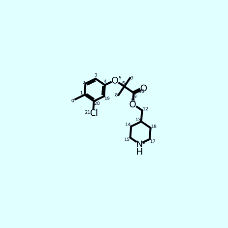 Cc1ccc(OC(C)(C)C(=O)OCC2CCNCC2)cc1Cl